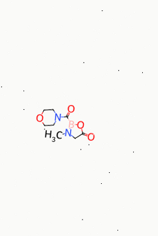 CN1CC(=O)OB1C(=O)N1CCOCC1